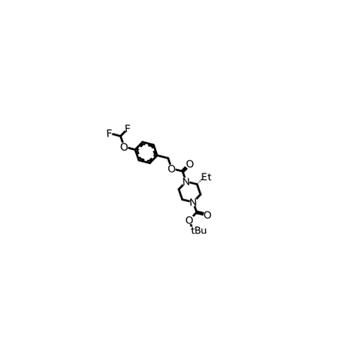 CC[C@@H]1CN(C(=O)OC(C)(C)C)CCN1C(=O)OCc1ccc(OC(F)F)cc1